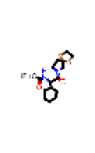 CC(C)COC(=O)NC(C(=O)N1CCC2(C1)SCCS2)C1CCCCC1